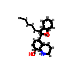 CCCCCc1c(-c2ccc(O)c3ncccc23)oc2ccccc12